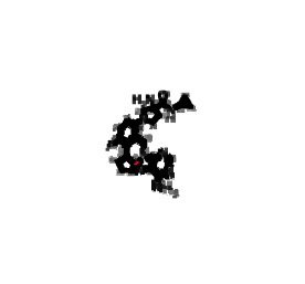 Nc1ncnc2c1ncn2Cc1c(N2CC[C@](N)(C(=O)NC3CC3)C2)ccc(F)c1C1CCCC1